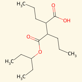 CCCC(C(=O)O)C(CCC)C(=O)OC(CC)CC